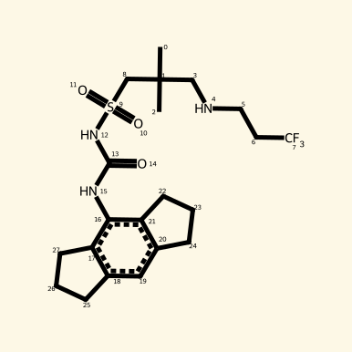 CC(C)(CNCCC(F)(F)F)CS(=O)(=O)NC(=O)Nc1c2c(cc3c1CCC3)CCC2